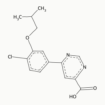 CC(C)COc1cc(-c2cc(C(=O)O)ncn2)ccc1Cl